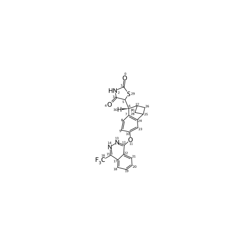 O=C1NC(=O)C([C@H]2c3ccc(Oc4nnc(C(F)(F)F)c5ccccc45)cc3C3CC2C3)S1